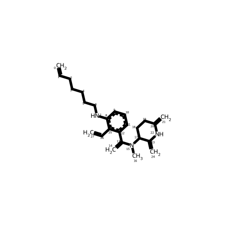 C=CCCCCCNc1cccc(C(=C)N(C)C2CCC(=C)NC2=C)c1C=C